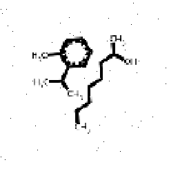 CCCCCCC(C)O.Cc1ccccc1C(C)C